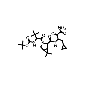 CC(C)(C)OC(=O)NC(C(=O)N1CC2C(C1C(=O)NC(CC1CC1)C(=O)C(N)=O)C2(C)C)C(C)(C)C